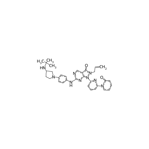 C=CCn1c(=O)c2cnc(Nc3ccc(N4CCC(NC(C)(C)C)C4)cc3)nc2n1-c1cccc(-n2ccccc2=O)n1